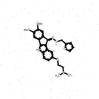 COc1cc2c(cc1OC)-c1[nH]c3ccc(OCCN(C)C)cc3c1/C2=N\OCc1cccs1